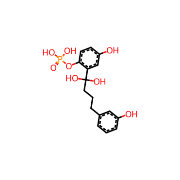 O=P(O)(O)Oc1ccc(O)cc1C(O)(O)CCCc1cccc(O)c1